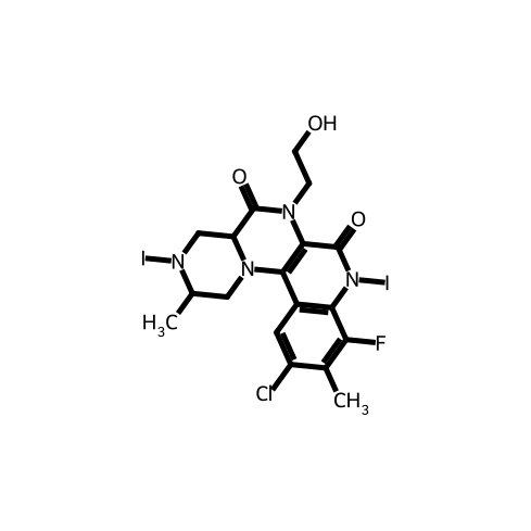 Cc1c(Cl)cc2c3c(c(=O)n(I)c2c1F)N(CCO)C(=O)C1CN(I)C(C)CN31